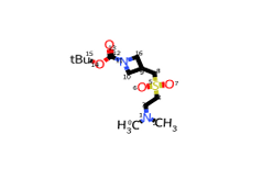 CN(C)CCS(=O)(=O)CC1CN(C(=O)OC(C)(C)C)C1